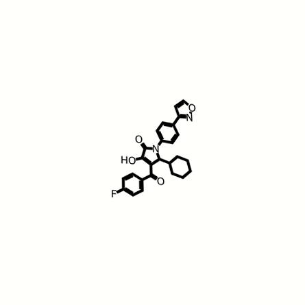 O=C(C1=C(O)C(=O)N(c2ccc(-c3ccon3)cc2)C1C1CCCCC1)c1ccc(F)cc1